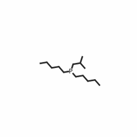 CCCCCP(CCCCC)CC(C)C